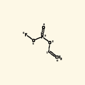 C=CO[PH](=O)OF